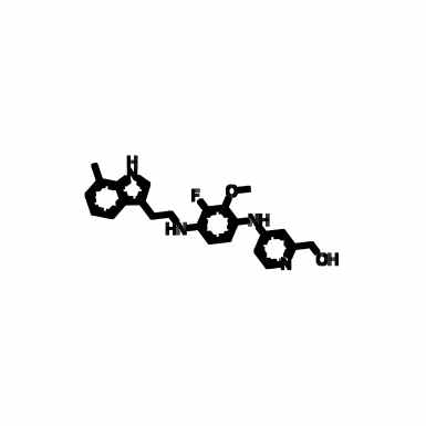 COc1c(Nc2ccnc(CO)c2)ccc(NCCc2c[nH]c3c(C)cccc23)c1F